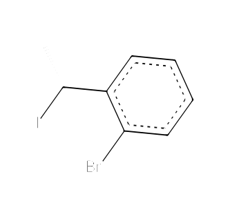 C[C@@H](I)c1ccccc1Br